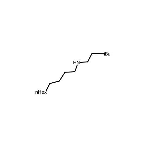 CCCCCCCCCCNCCC(C)CC